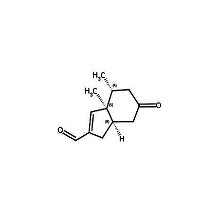 C[C@@H]1CC(=O)C[C@H]2CC(C=O)=C[C@]21C